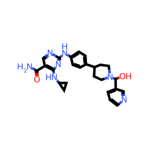 NC(=O)c1cnc(Nc2ccc(C3CCN(C(O)c4cccnc4)CC3)cc2)nc1NC1CC1